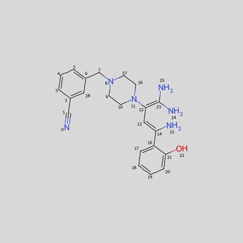 N#Cc1cccc(CN2CCN(C(/C=C(\N)c3ccccc3O)=C(N)N)CC2)c1